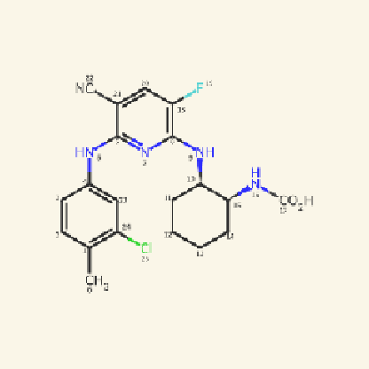 Cc1ccc(Nc2nc(N[C@@H]3CCCC[C@@H]3NC(=O)O)c(F)cc2C#N)cc1Cl